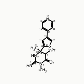 CCCC1C(=O)N(C)C(=N)N[C@]1(C)c1cc(-c2ccncc2)cs1